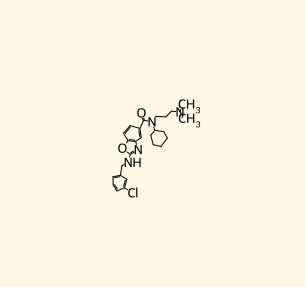 CN(C)CCCN(C(=O)c1ccc2oc(NCc3cccc(Cl)c3)nc2c1)C1CCCCC1